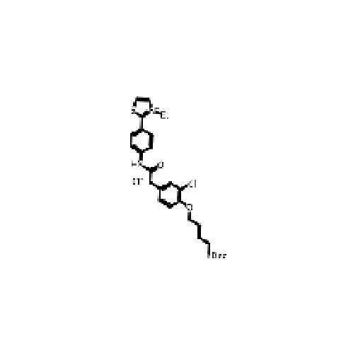 CCCCCCCCCCCCCCOc1ccc(CC(=O)Nc2ccc(-c3scc[n+]3CC)cc2)cc1Cl.[Cl-]